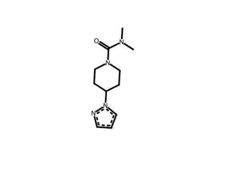 CN(C)C(=O)N1CCC(n2c[c]cn2)CC1